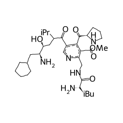 CC[C@H](C)[C@H](N)C(=O)NCc1ncc(C(=O)C(C[C@H](O)[C@@H](N)CC2CCCCC2)C(C)C)c(C(=O)[C@H]2CCCN2)c1C(=O)OC